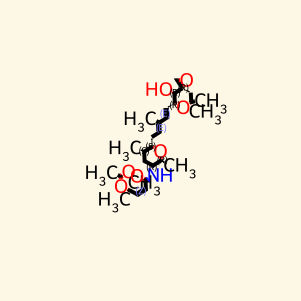 CC(=O)OC(C)(C)/C=C\C(=O)N[C@@H]1C[C@H](C)[C@H](C/C=C(C)/C=C/[C@H]2OC(C)(C)C[C@@]3(CO3)[C@@H]2O)O[C@@H]1C